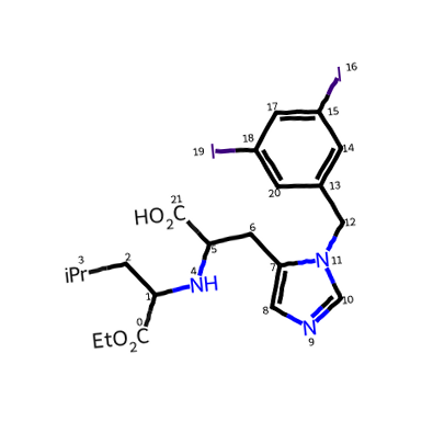 CCOC(=O)C(CC(C)C)NC(Cc1cncn1Cc1cc(I)cc(I)c1)C(=O)O